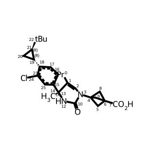 CC(C)C1=CN(C23CC(C(=O)O)(C2)C3)C(=O)N[C@@]1(C)c1ccc([C@@H]2C[C@H]2C(C)(C)C)c(Cl)c1